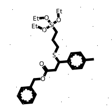 CCO[Si](CCCSC(CC(=O)OCc1ccccc1)c1ccc(C)cc1)(OCC)OCC